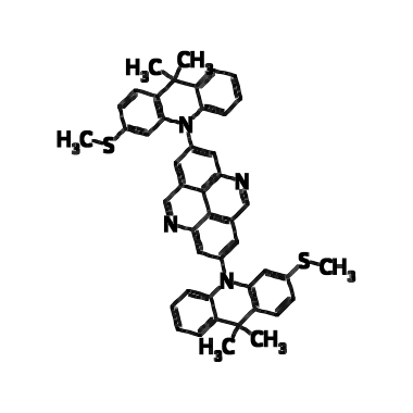 CSc1ccc2c(c1)N(c1cc3cnc4cc(N5c6ccccc6C(C)(C)c6ccc(SC)cc65)cc5cnc(c1)c3c54)c1ccccc1C2(C)C